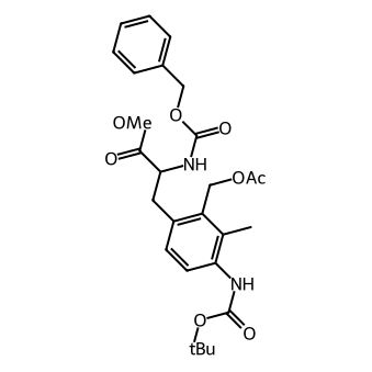 COC(=O)C(Cc1ccc(NC(=O)OC(C)(C)C)c(C)c1COC(C)=O)NC(=O)OCc1ccccc1